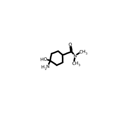 CN(C)C(=O)C1CCC(N)(O)CC1